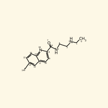 CCNCCNC(=O)c1ccc2cc(I)ccc2n1